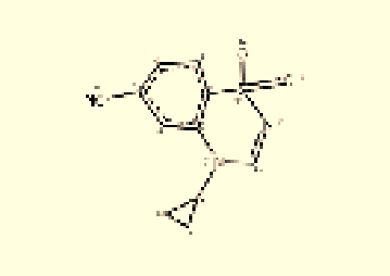 N#Cc1ccc2c(c1)N(C1CC1)C=NS2(=O)=O